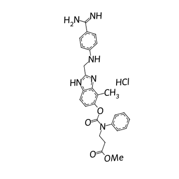 COC(=O)CCN(C(=O)Oc1ccc2[nH]c(CNc3ccc(C(=N)N)cc3)nc2c1C)c1ccccc1.Cl